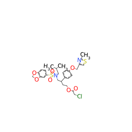 Cc1nc(COc2ccc(C(CCOC(=O)CCl)CN(CC(C)C)S(=O)(=O)c3ccc4c(c3)OCO4)cc2)cs1